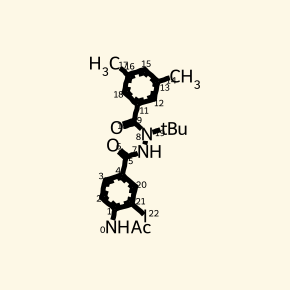 CC(=O)Nc1ccc(C(=O)NN(C(=O)c2cc(C)cc(C)c2)C(C)(C)C)cc1I